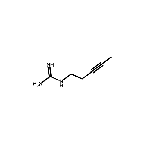 CC#CCCNC(=N)N